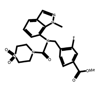 COC(=O)c1ccc(CN(C(=O)N2CCS(=O)(=O)CC2)c2cccc3cnn(C)c23)c(F)c1